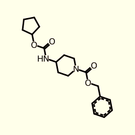 O=C(NC1CCN(C(=O)OCc2ccccc2)CC1)OC1CCCC1